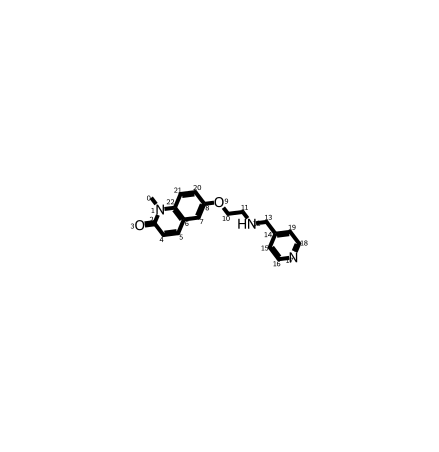 Cn1c(=O)ccc2cc(OCCNCc3ccncc3)ccc21